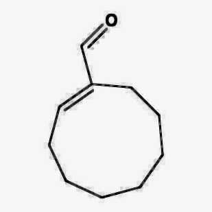 O=C/C1=C/CCCCCCC1